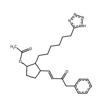 CC(=O)OC1CCC(C=CC(=O)Cc2ccccc2)C1CCCCCCc1nnn[nH]1